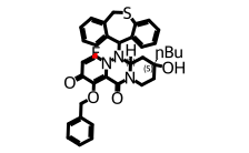 CCCC[C@]1(O)CCN2C(=O)c3c(OCc4ccccc4)c(=O)ccn3N(C3c4ccccc4SCc4cccc(F)c43)[C@@H]2C1